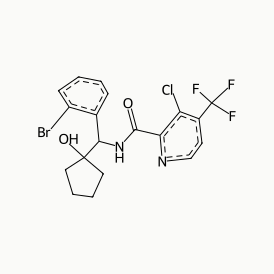 O=C(NC(c1ccccc1Br)C1(O)CCCC1)c1nccc(C(F)(F)F)c1Cl